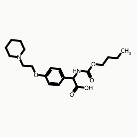 CCCCOC(=O)NC(C(=O)O)c1ccc(OCCN2CCCCC2)cc1